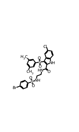 Cc1cc(C)cc(S(=O)(=O)c2c(C(=O)NCCNS(=O)(=O)c3ccc(Br)cc3)[nH]c3ccc(Cl)cc23)c1